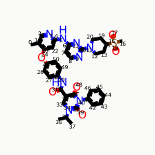 Cc1cnc(Nc2ccnc(N3CCC(S(C)(=O)=O)CC3)n2)cc1Oc1ccc(NC(=O)c2cn(C(C)C)c(=O)n(-c3ccccc3)c2=O)cc1